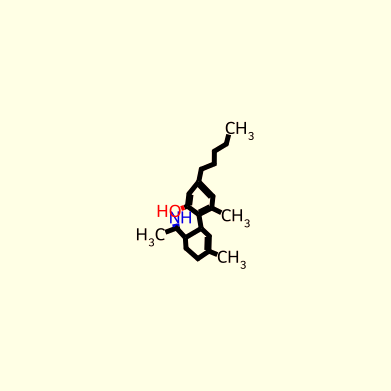 CCCCCc1cc(C)c(C2C=C(C)CCC2C(C)=N)c(O)c1